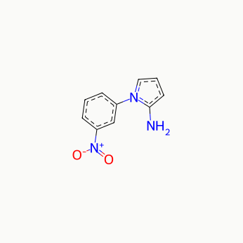 Nc1cccn1-c1cccc([N+](=O)[O-])c1